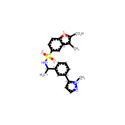 Cc1c(C(=O)O)oc2ccc(S(=O)(=O)NC(C)c3cccc(-c4ccnn4C)c3)cc12